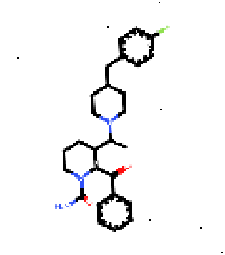 CC(C1CCCN(C(N)=O)C1C(=O)c1ccccc1)N1CCC(Cc2ccc(F)cc2)CC1